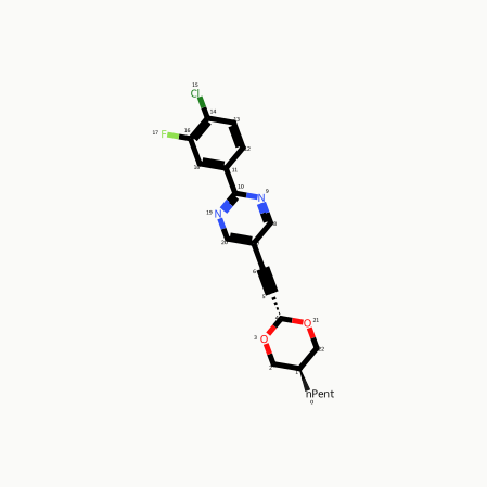 CCCCC[C@H]1CO[C@H](C#Cc2cnc(-c3ccc(Cl)c(F)c3)nc2)OC1